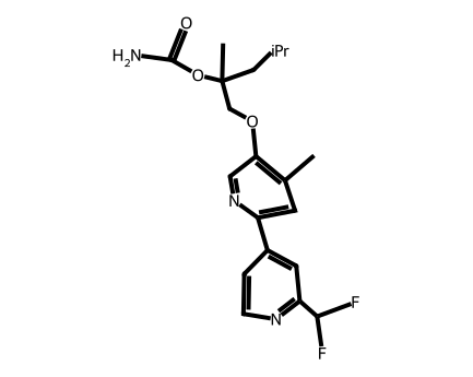 Cc1cc(-c2ccnc(C(F)F)c2)ncc1OCC(C)(CC(C)C)OC(N)=O